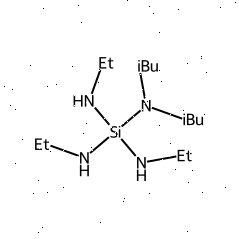 CCN[Si](NCC)(NCC)N(C(C)CC)C(C)CC